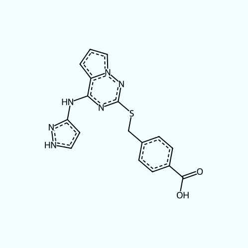 O=C(O)c1ccc(CSc2nc(Nc3cc[nH]n3)c3cccn3n2)cc1